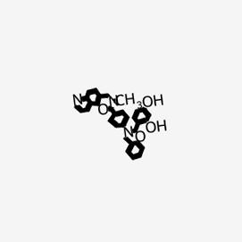 CN(Cc1ccc2ncccc2c1)C(=O)c1ccc(N(Cc2ccccc2)C(=O)c2ccc(O)cc2O)cc1